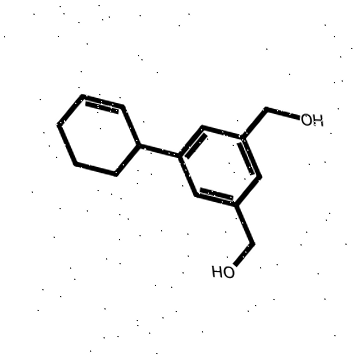 OCc1cc(CO)cc(C2C=CCCC2)c1